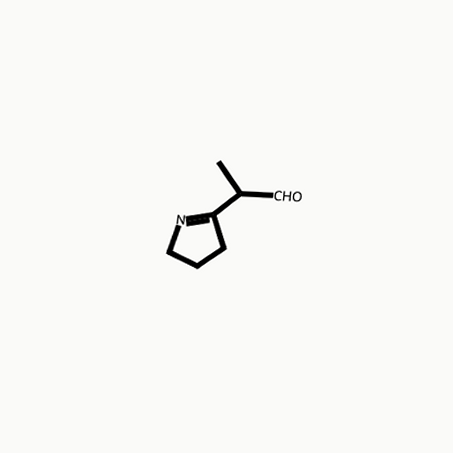 CC(C=O)C1=NCCC1